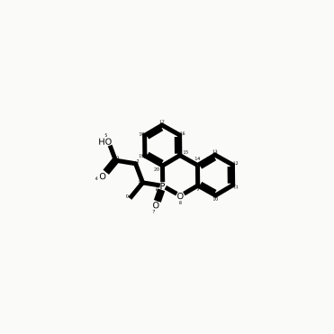 CC(CC(=O)O)P1(=O)Oc2ccccc2-c2ccccc21